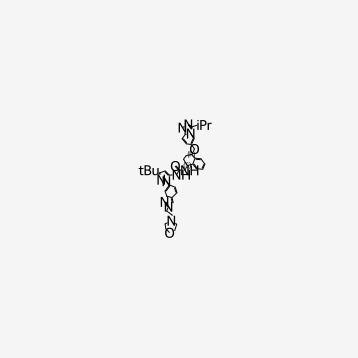 CC(C)c1nnc2ccc(O[C@@H]3CC[C@H](NC(=O)Nc4cc(C(C)(C)C)nn4-c4ccc5cn(CCN6CCOCC6)nc5c4)c4ccccc43)cn12